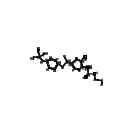 CCCOC(=O)Nc1ccc(N(C)Cc2ccc(CC(F)(F)F)cc2)cc1Cl